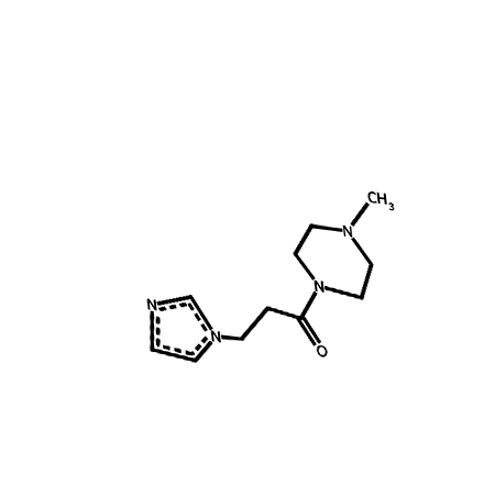 CN1CCN(C(=O)CCn2ccnc2)CC1